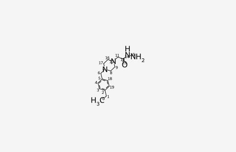 CCc1ccc(CN2CCN(CC(=O)NN)CC2)cc1